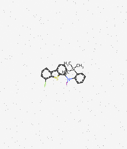 C[Si](C)(C)c1ccccc1N(I)c1cccc2c1sc1c(F)cccc12